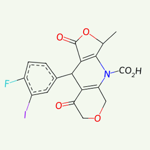 CC1OC(=O)C2=C1N(C(=O)O)C1=C(C(=O)COC1)C2c1ccc(F)c(I)c1